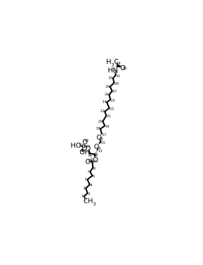 CCCCCCCCCC(=O)O[C@@H](COCOCCCCCCCCCCCCCCCNC(C)=O)COP(=O)(O)O